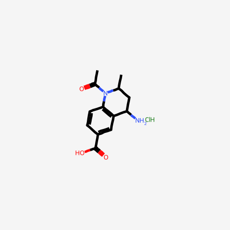 CC(=O)N1c2ccc(C(=O)O)cc2C(N)CC1C.Cl